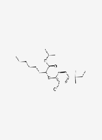 CCCCCCC(Oc1ccc(C(C)(C)CC)cc1Cl)C(=O)OC(C)C